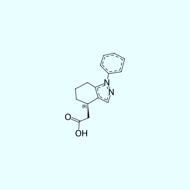 O=C(O)C[C@H]1CCCc2c1cnn2-c1ccccc1